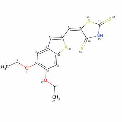 CCOc1cc2cc(C=C3SC(=S)NC3=S)sc2cc1OCC